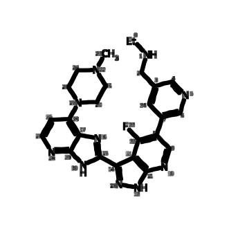 CCNCc1cncc(-c2cnc3[nH]nc(-c4nc5c(N6CCN(C)CC6)ccnc5[nH]4)c3c2F)c1